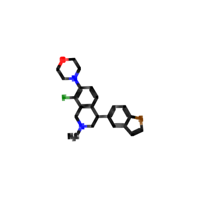 CN1Cc2c(ccc(N3CCOCC3)c2F)C(c2ccc3sccc3c2)C1